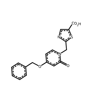 O=C(O)c1cnc(Cn2ccc(OCc3ccccc3)cc2=O)s1